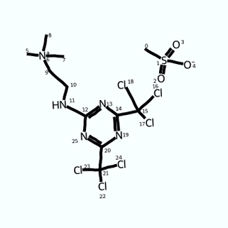 CS(=O)(=O)[O-].C[N+](C)(C)CCNc1nc(C(Cl)(Cl)Cl)nc(C(Cl)(Cl)Cl)n1